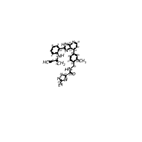 C#CC(=C)Nc1ccccc1-c1nc2c(-c3ccc(CNC(=O)C4=NC(CC)=NC4)c(C)c3)ccnc2[nH]1